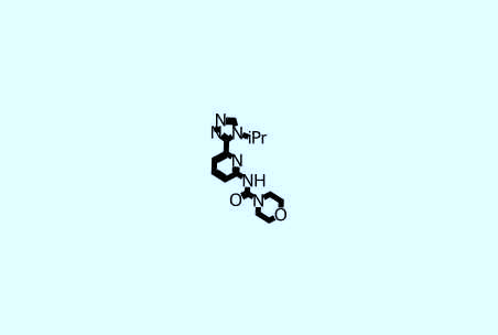 CC(C)n1cnnc1-c1cccc(NC(=O)N2CCOCC2)n1